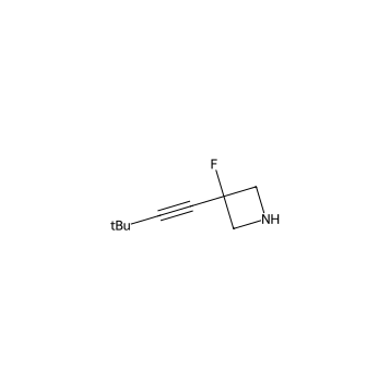 CC(C)(C)C#CC1(F)CNC1